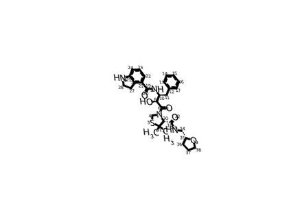 CC1(C)SCN(C(=O)[C@@H](O)[C@H](Cc2ccccc2)NC(=O)c2cccc3c2CCN3)[C@@H]1C(=O)NC[C@H]1CCCO1